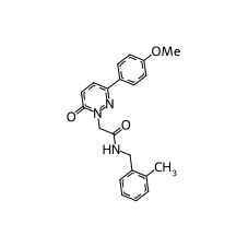 COc1ccc(-c2ccc(=O)n(CC(=O)NCc3ccccc3C)n2)cc1